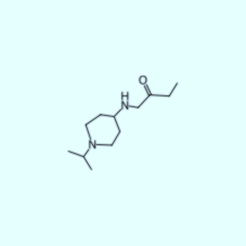 CCC(=O)CNC1CCN(C(C)C)CC1